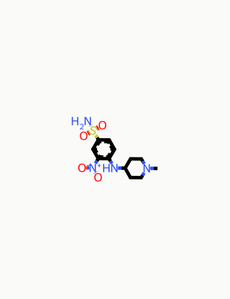 CN1CCC(Nc2ccc(S(N)(=O)=O)cc2[N+](=O)[O-])CC1